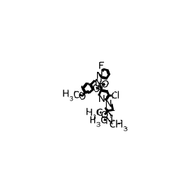 COc1ccc(CN(c2cccc(F)n2)S(=O)(=O)c2cnc(N3CC[C@](CN(C)C)(OC)C3)c(Cl)c2)cc1